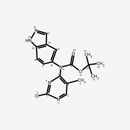 Cc1cnc(Cl)nc1N(C(=O)OC(C)(C)C)c1ccc2[nH]ncc2c1